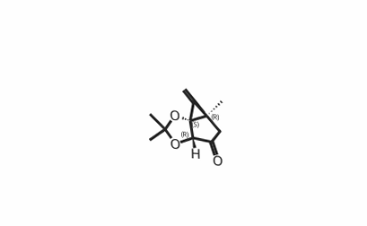 C=C1[C@@]2(C)CC(=O)[C@@H]3OC(C)(C)O[C@@]132